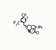 CC(C)[C@H]1CC2CN(Cc3ccc(C(F)(F)F)cc3C(F)(F)F)C[C@H]3CCC(=O)N1C23